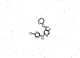 Cc1cnc(Nc2cnc(Cl)cn2)cc1NC[C@@H]1CCCCO1